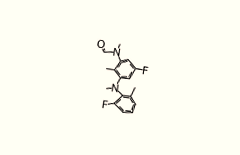 Cc1cccc(F)c1N(C)c1cc(F)cc(N(C)C=O)c1C